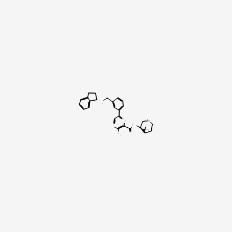 Nc1ncc(-c2cccc(CN[C@H]3CCc4ccccc43)c2)nc1C(=O)N[C@H]1CN2CCC1CC2